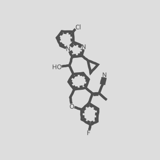 CC(C#N)=C1c2ccc(C(O)c3c(C4CC4)nc4c(Cl)cccn34)cc2COc2cc(F)ccc21